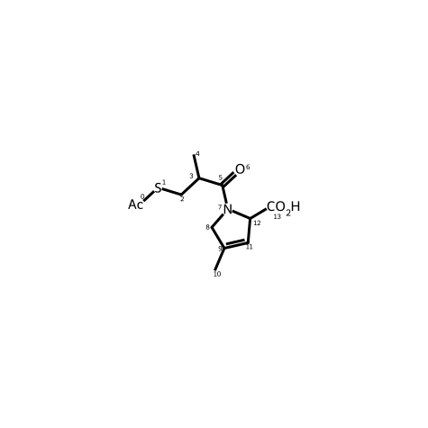 CC(=O)SCC(C)C(=O)N1CC(C)=CC1C(=O)O